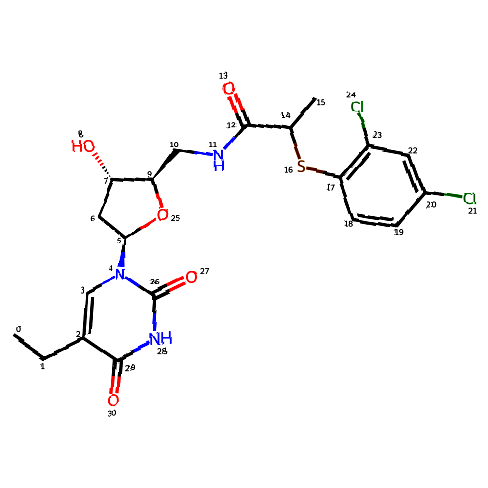 CCc1cn([C@H]2C[C@H](O)[C@@H](CNC(=O)C(C)Sc3ccc(Cl)cc3Cl)O2)c(=O)[nH]c1=O